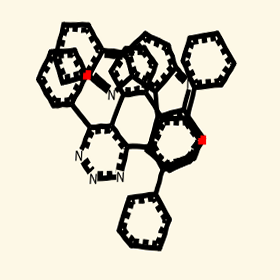 c1ccc(-c2ccccc2-c2ccccc2-c2c(-c3ccccc3)nnnc2-c2c(-c3ccccc3)ccc3c2-c2c4c(ccc2=N3)=c2ccccc2=N4)cc1